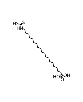 O=P(O)(O)CCCCCCCCCCCCCCCCCCCNC(=S)S